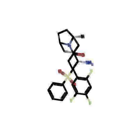 N[C@H](Cc1cc(F)c(F)cc1F)[C@@H]1CC2CC[C@@H](C1)N2C(=O)CCS(=O)(=O)c1ccccc1